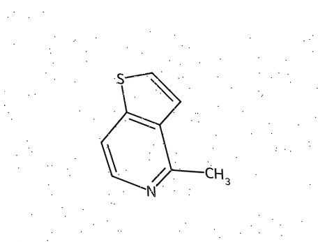 Cc1nccc2sccc12